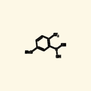 COc1ccc(C(F)(F)F)c(B(O)O)c1